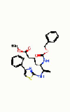 C=C(Nc1nc(-c2ccccc2)cs1)[C@H](CCCC(=O)OC(C)(C)C)NC(=O)OCc1ccccc1